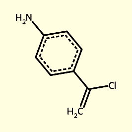 C=C(Cl)c1ccc(N)cc1